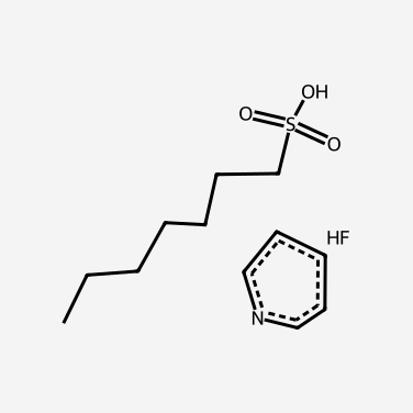 CCCCCCCS(=O)(=O)O.F.c1ccncc1